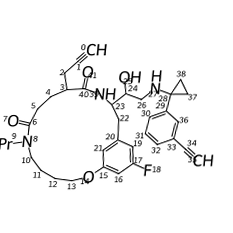 C#CCC1CCC(=O)N(CCC)CCCCOc2cc(F)cc(c2)CC(C(O)CNC2(c3cccc(C#C)c3)CC2)NC1=O